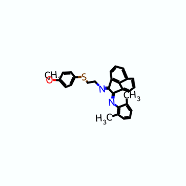 COc1ccc(SCC/N=C2/C(=N/c3c(C)cccc3C)c3cccc4cccc2c34)cc1